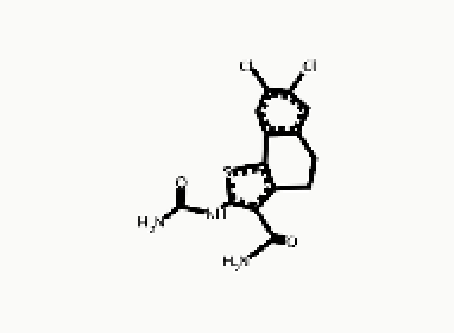 NC(=O)Nc1sc2c(c1C(N)=O)CCc1cc(Cl)c(Cl)cc1-2